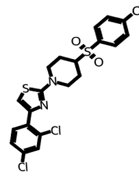 O=S(=O)(c1ccc(Cl)cc1)C1CCN(c2nc(-c3ccc(Cl)cc3Cl)cs2)CC1